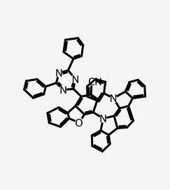 N#Cc1cc(-n2c3ccccc3c3ccc4c5ccccc5n(-c5ccccc5)c4c32)c2oc3ccccc3c2c1-c1nc(-c2ccccc2)nc(-c2ccccc2)n1